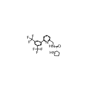 O=C(NCc1cccc(-c2cc(C(F)(F)F)cc(C(F)(F)F)c2)n1)[C@@H]1CCCN1